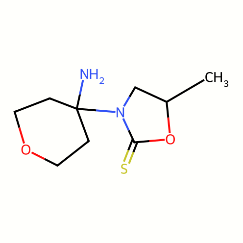 CC1CN(C2(N)CCOCC2)C(=S)O1